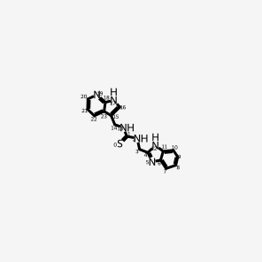 S=C(NCc1nc2ccccc2[nH]1)NCc1c[nH]c2ncccc12